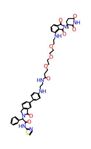 CC1(N2C(=O)c3cccc(NCCOCCOCCOCCC(=O)NCCNc4ccc(-c5ccc6c(c5)C(=O)N(C(C(=O)Nc5nccs5)c5ccccc5)C6)cc4)c3C2=O)CCC(=O)NC1=O